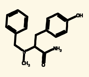 CN(Cc1ccccc1)C(Cc1ccc(O)cc1)C(N)=O